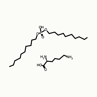 CCCCCCCCCCOP(=O)(O)OCCCCCCCCCC.NCCCC[C@H](N)C(=O)O